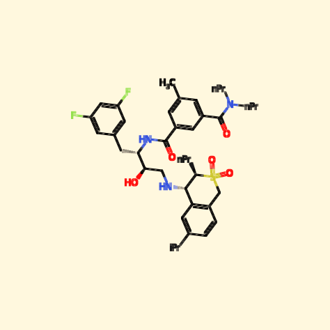 CCC[C@@H]1[C@@H](NC[C@@H](O)[C@H](Cc2cc(F)cc(F)c2)NC(=O)c2cc(C)cc(C(=O)N(CCC)CCC)c2)c2cc(C(C)C)ccc2CS1(=O)=O